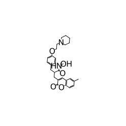 Cc1ccc2oc(=O)c(CC(Cc3ccc(OCCN4CCCCC4)cc3)C(=O)NO)cc2c1